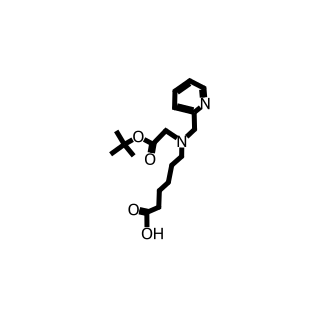 CC(C)(C)OC(=O)CN(CCCCCC(=O)O)Cc1ccccn1